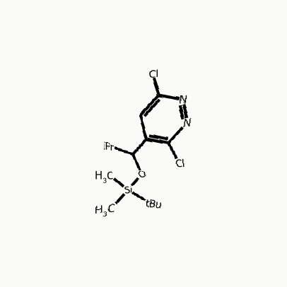 CC(C)C(O[Si](C)(C)C(C)(C)C)c1cc(Cl)nnc1Cl